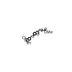 COC(=O)C1CN(CC2=Cc3ccc(OCc4ccc5c(c4)c(Cl)nn5C(C)C)cc3OC2)C1